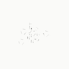 CN1CN(C(c2ccccc2)c2ccccc2)n2cc(N)c(=O)c(OCc3ccccc3)c2C1=O